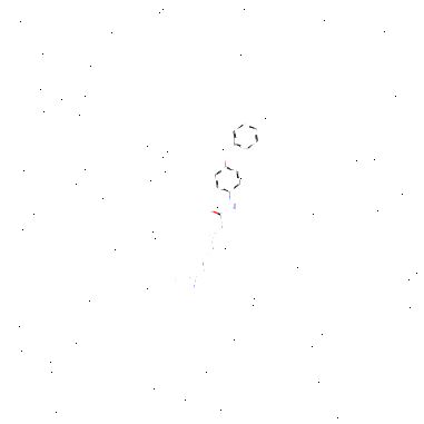 CN(C)CCCNCC(=O)Nc1ccc(Oc2ccccc2)cc1